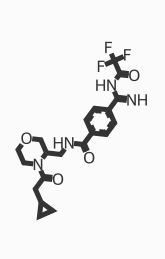 N=C(NC(=O)C(F)(F)F)c1ccc(C(=O)NCC2COCCN2C(=O)CC2CC2)cc1